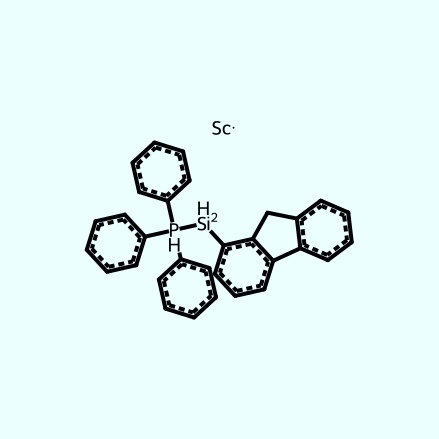 [Sc].c1ccc([PH]([SiH2]c2cccc3c2Cc2ccccc2-3)(c2ccccc2)c2ccccc2)cc1